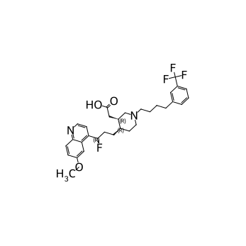 COc1ccc2nccc([C@H](F)CC[C@@H]3CCN(CCCCc4cccc(C(F)(F)F)c4)C[C@@H]3CC(=O)O)c2c1